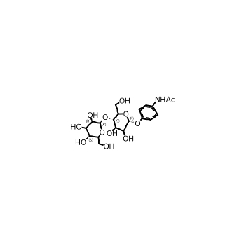 CC(=O)Nc1ccc(O[C@H]2OC(CO)[C@@H](O[C@H]3OC(CO)[C@@H](O)C(O)[C@H]3O)C(O)C2O)cc1